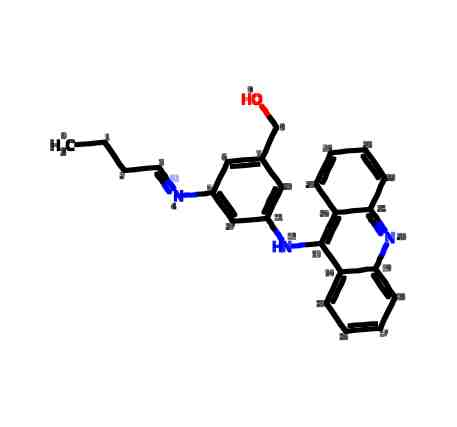 CCC/C=N/c1cc(CO)cc(Nc2c3ccccc3nc3ccccc23)c1